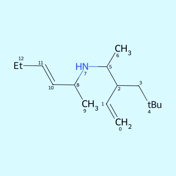 C=CC(CC(C)(C)C)C(C)NC(C)/C=C/CC